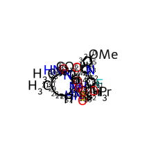 COc1ccc2c(O[C@@H]3C[C@H]4C(=O)N[C@]5(C(=O)NS(=O)(=O)C6(C)CC6)C[C@H]5C=CCC[C@@H](C)C[C@@H](C)[C@H](NC(=O)O)C(=O)N4C3)cc(-c3ccc(OC(C)C)c(F)c3)nc2c1